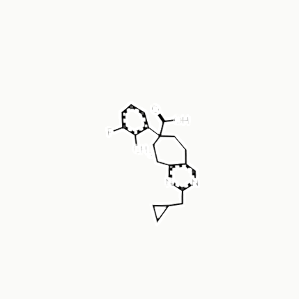 Cc1c(F)cccc1C1(C(=O)O)CCc2cnc(CC3CC3)nc2CC1